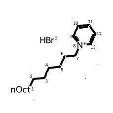 Br.CCCCCCCCCCCCCC[n+]1ccccc1